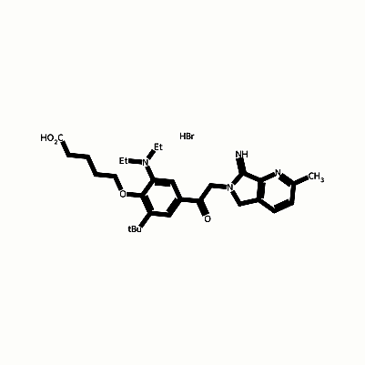 Br.CCN(CC)c1cc(C(=O)CN2Cc3ccc(C)nc3C2=N)cc(C(C)(C)C)c1OCCCCC(=O)O